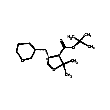 CC(C)(C)OC(=O)N1[C@@H](CC2CCCOC2)COC1(C)C